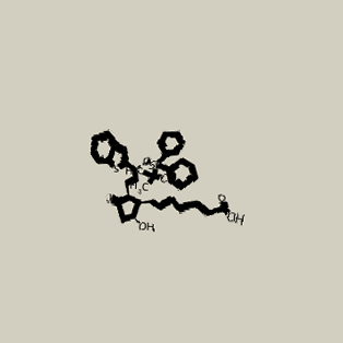 CC(C)(C)[Si](O[C@H](C=C[C@@H]1C(=O)C[C@@H](O)[C@@H]1CC=CCCCC(=O)O)c1cc2ccccc2s1)(c1ccccc1)c1ccccc1